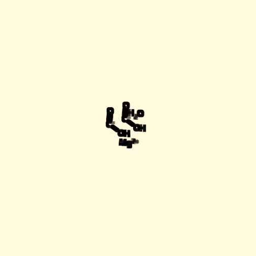 O.O=[C-]O.O=[C-]O.[Mg+2]